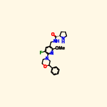 COc1nc(N2CCOC(c3ccccc3)C2)c(F)cc1CNC(=O)[C@@H]1CCCN1